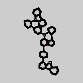 c1ccc(-c2ccccc2N(c2ccc(-c3ccc(-c4cccc5c4oc4ccccc45)cc3)cc2)c2ccc(-c3ccccc3-n3c4ccccc4c4ccccc43)cc2)cc1